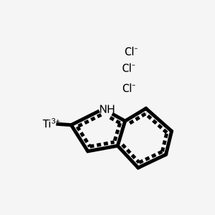 [Cl-].[Cl-].[Cl-].[Ti+3][c]1cc2ccccc2[nH]1